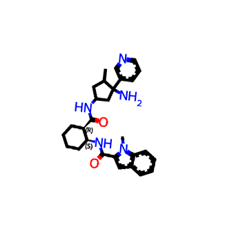 CC1CC(NC(=O)[C@@H]2CCCC[C@@H]2NC(=O)c2cc3ccccc3n2C)CC1(N)c1cccnc1